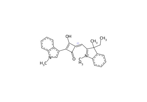 CCC1(C)C(/C=C2\C(=O)C(c3cn(C)c4ccccc34)=C2O)=[N+](C)c2ccccc21